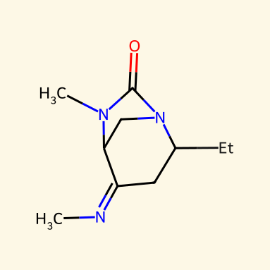 CCC1CC(=NC)C2CN1C(=O)N2C